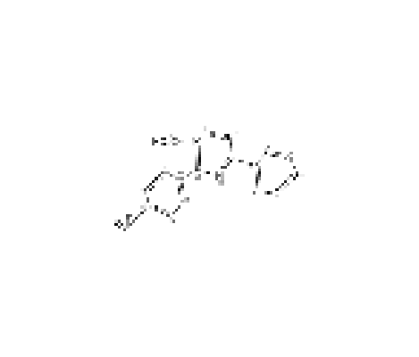 O=C(O)c1cnc(-c2ccccc2)nc1-c1ccc([N+](=O)[O-])cc1